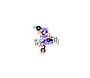 CC(C)[C@H](NC(=O)CC1CCOCC1)C(=O)N1C[C@H]2[C@@H]([C@H]1C(=O)N[C@H](C#N)C[C@@H]1Oc3cc(F)ccc3NC1=O)C2(C)C